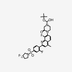 Cc1cc(-c2ccc(S(=O)(=O)N3CC[C@H](F)C3)cc2F)nc2c(F)c(N3CCN(C(O)OC(C)(C)C)CC3=O)ccc12